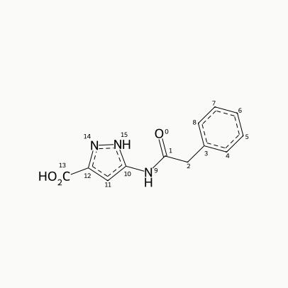 O=C(Cc1ccccc1)Nc1cc(C(=O)O)n[nH]1